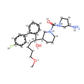 COCCCC[C@@](O)(c1ccccc1-c1ccc(F)cc1)C1CCCN(C(=O)N2CCC(N)C2)C1